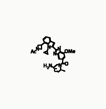 COc1cc(C(=O)N2C[C@H](N)CC[C@@H]2C)cc2nc(-c3cc4cccc(C5CN(C(C)=O)C5)c4n3C3CC3)n(C)c12